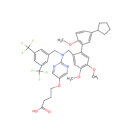 COc1cc(CN(Cc2cc(C(F)(F)F)cc(C(F)(F)F)c2)c2ncc(OCCCC(=O)O)cn2)c(-c2cc(C3CCCC3)ccc2OC)cc1OC